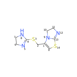 C1=C(CSC2=NCCN2)N2CCN=C2S1